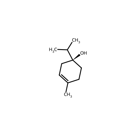 CC1=CC[C@](O)(C(C)C)CC1